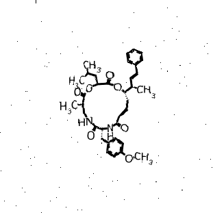 COc1ccc(C[C@H]2NC(=O)/C=C/C[C@@H]([C@H](C)/C=C/c3ccccc3)OC(=O)[C@H](CC(C)C)OC(=O)[C@H](C)CNC2=O)cc1